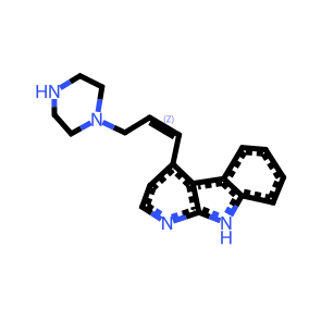 C(=C/c1ccnc2[nH]c3ccccc3c12)/CN1CCNCC1